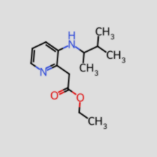 CCOC(=O)Cc1ncccc1NC(C)C(C)C